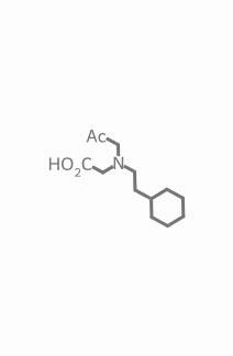 CC(=O)CN(CCC1CCCCC1)CC(=O)O